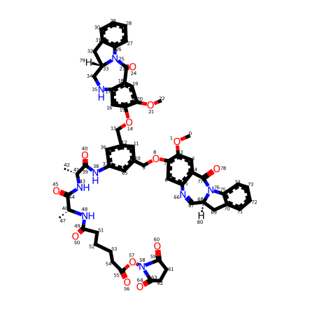 COc1cc2c(cc1OCc1cc(COc3cc4c(cc3OC)C(=O)N3c5ccccc5C[C@H]3CN4)cc(NC(=O)[C@@H](C)NC(=O)[C@@H](C)NC(=O)CCCCC(=O)ON3C(=O)CCC3=O)c1)N=C[C@@H]1Cc3ccccc3N1C2=O